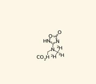 [2H]C([2H])([2H])N(CC(=O)O)c1nc(=O)o[nH]1